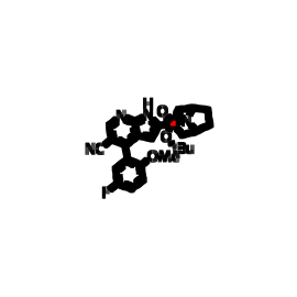 COc1ccc(F)cc1-c1c(C#N)cnc2[nH]c(C3=CC4CCC(C3)N4C(=O)OC(C)(C)C)cc12